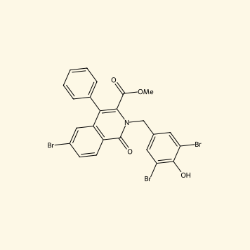 COC(=O)c1c(-c2ccccc2)c2cc(Br)ccc2c(=O)n1Cc1cc(Br)c(O)c(Br)c1